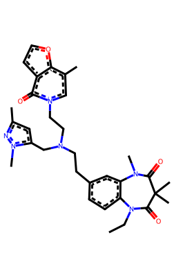 CCN1C(=O)C(C)(C)C(=O)N(C)c2cc(CCN(CCn3cc(C)c4occc4c3=O)Cc3cc(C)nn3C)ccc21